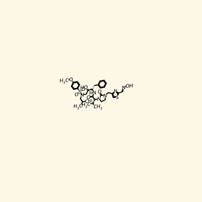 COc1ccc(S(=O)(=O)N(CC(C)C)C[C@@H](O)[C@H](Cc2ccccc2)NC(=O)[C@H](C(C)C)N2CCN(Cc3csc(C=NO)n3)C2=O)cc1